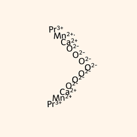 [Ca+2].[Ca+2].[Mn+2].[Mn+2].[O-2].[O-2].[O-2].[O-2].[O-2].[O-2].[O-2].[Pr+3].[Pr+3]